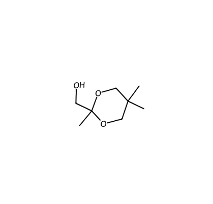 CC1(C)COC(C)(CO)OC1